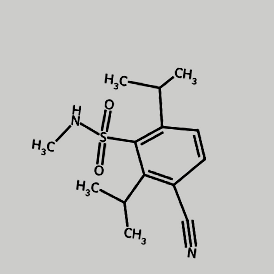 CNS(=O)(=O)c1c(C(C)C)ccc(C#N)c1C(C)C